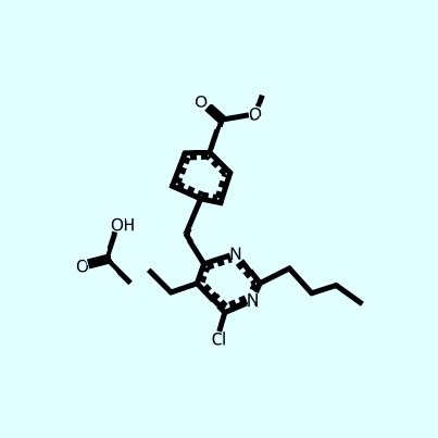 CC(=O)O.CCCCc1nc(Cl)c(CC)c(Cc2ccc(C(=O)OC)cc2)n1